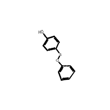 Oc1ccc(SOc2ccccc2)cc1